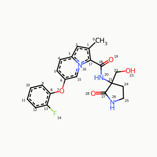 Cc1cc2ccc(Oc3ccccc3F)cn2c1C(=O)NC1(CO)CCNC1=O